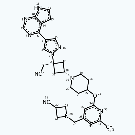 N#CC[C@]1(n2cc(-c3ncnc4[nH]ccc34)cn2)C[C@H](N2CCC(Oc3cc(CN4CC(C#N)C4)cc(C(F)(F)F)n3)CC2)C1